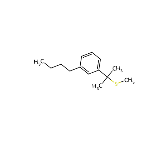 CCCCc1cccc(C(C)(C)SC)c1